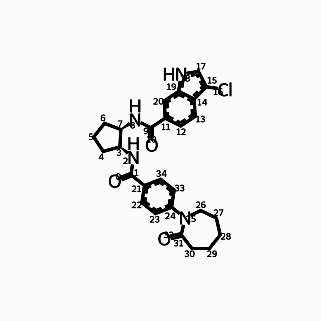 O=C(N[C@H]1CCC[C@H]1NC(=O)c1ccc2c(Cl)c[nH]c2c1)c1ccc(N2CCCCCC2=O)cc1